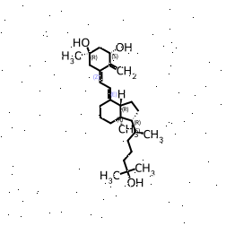 C=C1/C(=C\C=C2/CCC[C@]3(C)[C@@H]([C@@H](C)CCCC(C)(C)O)CC[C@@H]23)C[C@@](C)(O)C[C@@H]1O